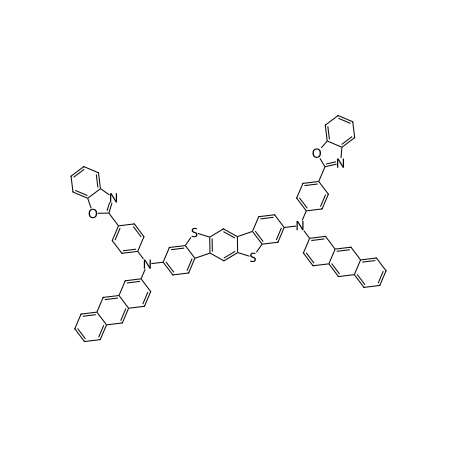 c1ccc2cc3cc(N(c4ccc(-c5nc6ccccc6o5)cc4)c4ccc5c(c4)sc4cc6c(cc45)sc4cc(N(c5ccc(-c7nc8ccccc8o7)cc5)c5ccc7cc8ccccc8cc7c5)ccc46)ccc3cc2c1